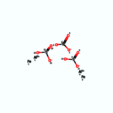 [Al+3].[Al+3].[Fe].[Fe].[O]=[Ti]([O-])[O-].[O]=[Ti]([O-])[O-].[O]=[Ti]([O-])[O-]